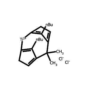 CCCCC1=[C]2CC=C1C(C)(C)C1=CC[C](=C1CCCC)[Ti+2]2.[Cl-].[Cl-]